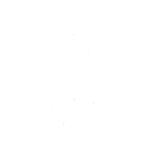 CC(C)(C)N(C(=O)OC1C(O)CC(c2ccc(F)cc2)C1(F)F)C1CCCNC1